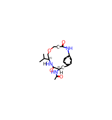 CC(=O)N[C@@H]1Cc2ccc(cc2)NC(=O)CCOC[C@H](C(C)C)NC1=O